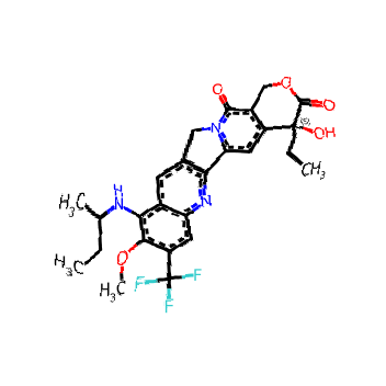 CCC(C)Nc1c(OC)c(C(F)(F)F)cc2nc3c(cc12)Cn1c-3cc2c(c1=O)COC(=O)[C@]2(O)CC